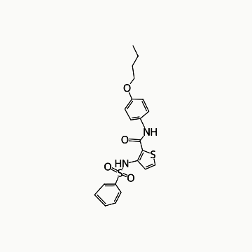 CCCCOc1ccc(NC(=O)c2sccc2NS(=O)(=O)c2ccccc2)cc1